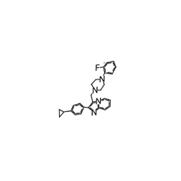 Fc1[c]cccc1N1CCN(Cc2c(-c3ccc(C4CC4)cc3)nc3ccccn23)CC1